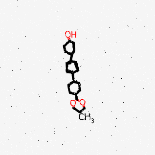 CC1COC(C2CCC(c3ccc(C4CCC(O)CC4)cc3)CC2)OC1